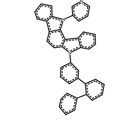 c1ccc(-c2ccccc2-c2cccc(-n3c4ccccc4c4c3ccc3c5ccccc5n(-c5cccnc5)c34)c2)cc1